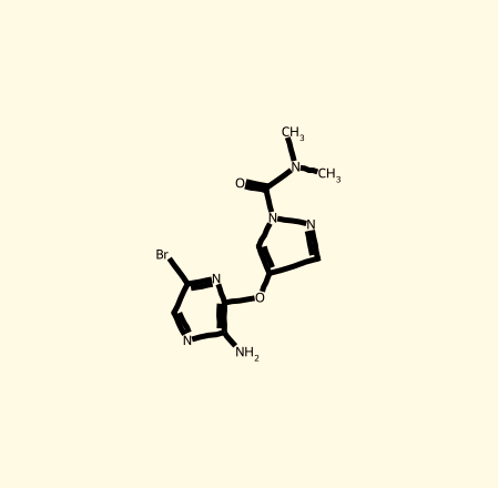 CN(C)C(=O)n1cc(Oc2nc(Br)cnc2N)cn1